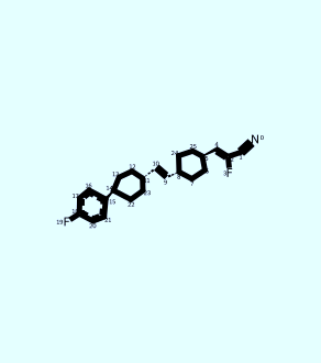 N#CC(F)=C[C@H]1CC[C@H](C=C[C@H]2CC[C@H](c3ccc(F)cc3)CC2)CC1